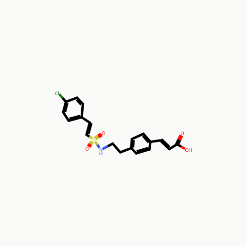 O=C(O)C=Cc1ccc(CCNS(=O)(=O)C=Cc2ccc(Cl)cc2)cc1